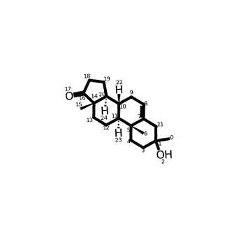 CC1(O)CC[C@@]2(C)C(=CC[C@@H]3[C@@H]2CC[C@]2(C)C(=O)CC[C@@H]32)C1